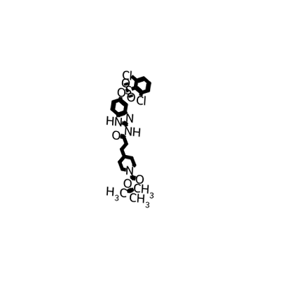 CC(C)(C)OC(=O)N1CCC(CCC(=O)Nc2nc3cc(OS(=O)(=O)c4c(Cl)cccc4Cl)ccc3[nH]2)CC1